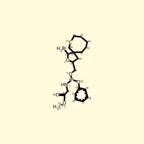 BC1OC(COP(NCC(=O)OC)Oc2ccccc2)CC12CCCCCCC2